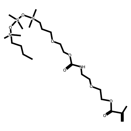 C=C(C)C(=O)OCCOCCNC(=O)OCCOCCC[Si](C)(C)O[Si](C)(C)O[Si](C)(C)CCCC